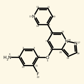 Nc1ccc(Oc2cc(-c3cccnc3)cn3nccc23)c(F)c1